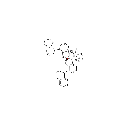 [CH3][Zr]([CH3])([CH3])([CH3])(=[SiH2])([CH]1C=Cc2c(-c3cccc4ccccc34)cccc21)[CH]1C=Cc2c(-c3cccc4ccccc34)cccc21